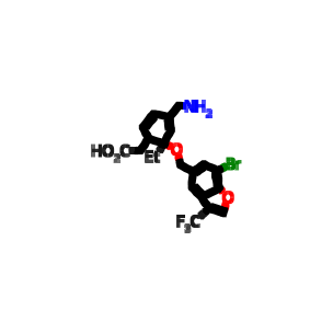 CCC1(OCc2cc(Br)c3occ(C(F)(F)F)c3c2)C=C(CN)C=CC1CC(=O)O